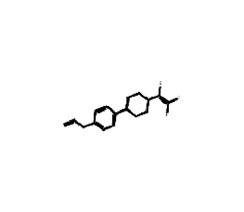 C=CCc1ccc(C2CCC(C(F)=C(F)F)CC2)cc1